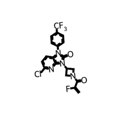 C=C(F)C(=O)N1CC(n2c(=O)n(-c3ccc(C(F)(F)F)cc3)c3ccc(Cl)nc32)C1